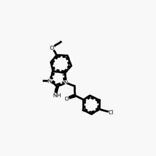 COc1ccc2c(c1)n(C)c(=N)n2CC(=O)c1ccc(Cl)cc1